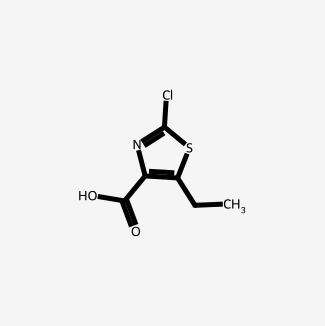 CCc1sc(Cl)nc1C(=O)O